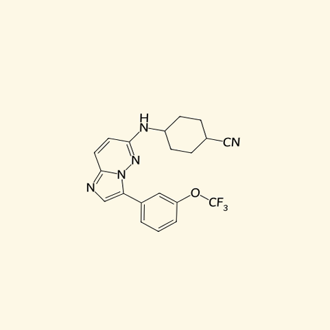 N#CC1CCC(Nc2ccc3ncc(-c4cccc(OC(F)(F)F)c4)n3n2)CC1